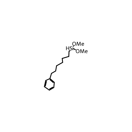 CO[SiH](CCCCCCCc1ccccc1)OC